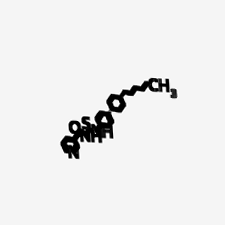 CCCCCC[C@H]1CC[C@H](c2ccc(NC(=S)NC(=O)c3cccnc3)cc2)CC1